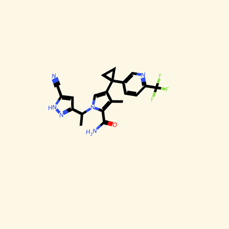 Cc1c(C2(c3ccc(C(F)(F)F)nc3)CC2)cn(C(C)c2cc(C#N)[nH]n2)c1C(N)=O